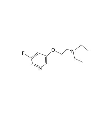 CCN(CC)CCOc1cn[c]c(F)c1